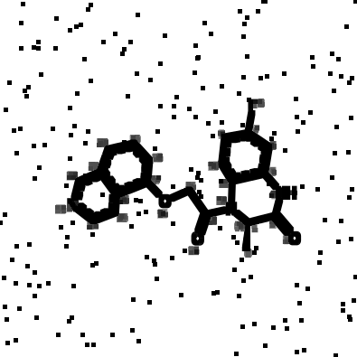 C[C@@H]1C(=O)Nc2cc(F)ccc2N1C(=O)COc1cccc2cnccc12